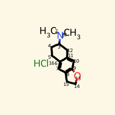 CN(C)C1CCc2cc3c(cc2C1)OCC3.Cl